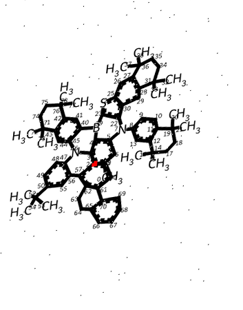 Cc1cc2c3c(c1)N(c1ccc4c(c1)C(C)(C)CCC4(C)C)c1c(sc4cc5c(cc14)C(C)(C)CCC5(C)C)B3c1cc3c(cc1N2c1ccc(C(C)(C)C)cc1-c1cccc2c1CCc1ccccc1-2)C(C)(C)CCC3(C)C